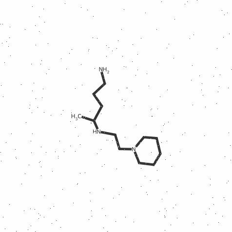 CC(CCCN)NCCN1CCCCC1